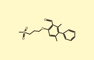 Cc1cc(OCCCS(C)(=O)=O)c(C=O)c(C)c1-c1ccccc1